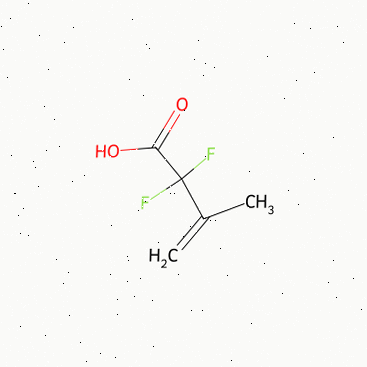 C=C(C)C(F)(F)C(=O)O